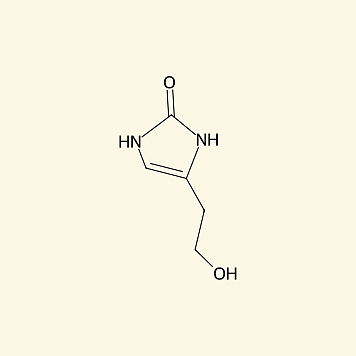 O=c1[nH]cc(CCO)[nH]1